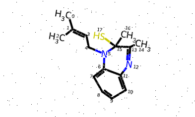 CC(C)=CCN1c2ccccc2N=C(C)C1(C)S